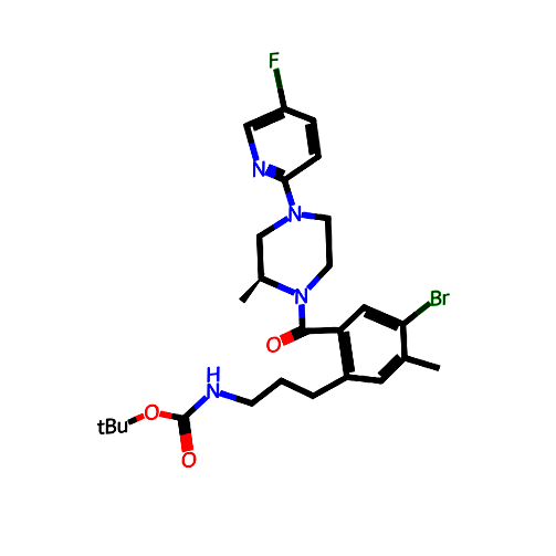 Cc1cc(CCCNC(=O)OC(C)(C)C)c(C(=O)N2CCN(c3ccc(F)cn3)C[C@@H]2C)cc1Br